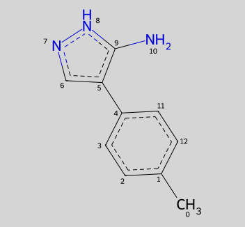 Cc1ccc(-c2cn[nH]c2N)cc1